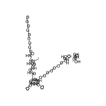 CCCCNC(=O)[C@H](CCCCNC(=O)COCCOCCOCCOCCOCCOCCOCCOCCOC)NC(=O)CNC(=O)CNC(=O)CCCNC(=O)[C@@H](NC(=O)OCc1ccccc1)[C@H](NC(=O)OCc1ccccc1)C(=O)NCCOCCOCCOCCOCCOCCOCCOCCOC(=O)Nc1cc(C[C@@H](C[C@H](C)C(=O)O)NC(=O)OC(C)(C)C)ccc1O